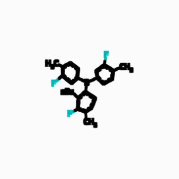 CCCCc1c(B(c2ccc(C)c(F)c2)c2ccc(C)c(F)c2)ccc(C)c1F